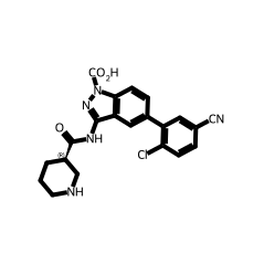 N#Cc1ccc(Cl)c(-c2ccc3c(c2)c(NC(=O)[C@@H]2CCCNC2)nn3C(=O)O)c1